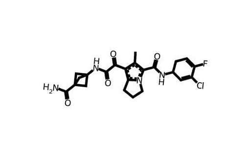 Cc1c(C(=O)C(=O)NC23CC(C(N)=O)(C2)C3)c2n(c1C(=O)NC1C=C(Cl)C(F)=CC1)CCC2